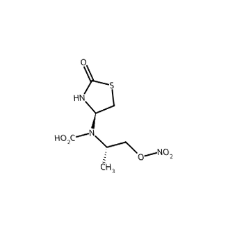 C[C@@H](CO[N+](=O)[O-])N(C(=O)O)[C@@H]1CSC(=O)N1